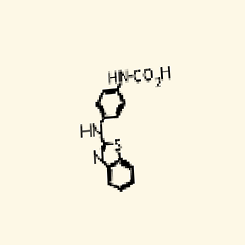 O=C(O)Nc1ccc(Nc2nc3ccccc3s2)cc1